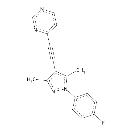 Cc1nn(-c2ccc(F)cc2)c(C)c1C#Cc1ccncn1